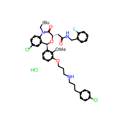 COc1c(OCCCNCCCc2ccc(Cl)cc2)cccc1[C@@H]1O[C@@H](CC(=O)NCc2ccccc2F)C(=O)N(CC(C)(C)C)c2ccc(Cl)cc21.Cl